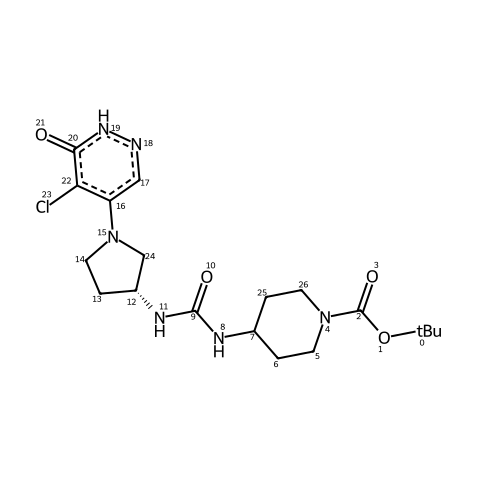 CC(C)(C)OC(=O)N1CCC(NC(=O)N[C@@H]2CCN(c3cn[nH]c(=O)c3Cl)C2)CC1